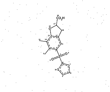 Cc1c(S(=O)(=O)c2cccs2)cc2c(c1C)OC(C(=O)O)C2